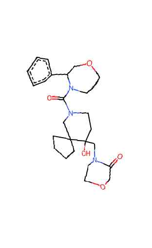 O=C1COCCN1CC1(O)CCN(C(=O)N2CCOCC2c2ccccc2)CC12CCCC2